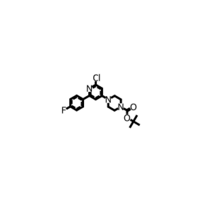 CC(C)(C)OC(=O)N1CCN(c2cc(Cl)nc(-c3ccc(F)cc3)c2)CC1